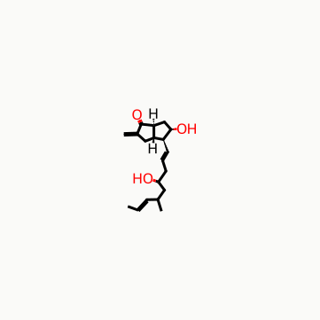 C=C1C[C@H]2[C@H](C=CCC(O)CC(C)C=CC)[C@H](O)C[C@@H]2C1=O